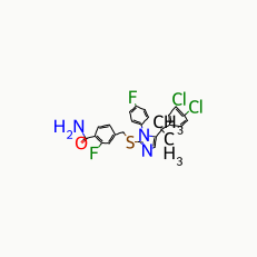 CC(C)(c1ccc(Cl)c(Cl)c1)c1cnc(SCc2ccc(C(N)=O)c(F)c2)n1-c1ccc(F)cc1